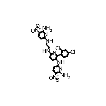 Nc1nc(NCCNc2ccc(Nc3ccc([N+](=O)[O-])c(N)n3)c(-c3ccc(Cl)cc3Cl)n2)ccc1[N+](=O)[O-]